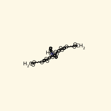 C=CC(=O)OCCCCCCOc1ccc(OC(=O)C2CCC(C(=O)Oc3cc(/C=N/Nc4cc5ccccc5s4)c(OC(=O)C4CCC(C(=O)Oc5ccc(OCCCCCCOC(=O)C=C)cc5)CC4)c4ccccc34)CC2)cc1